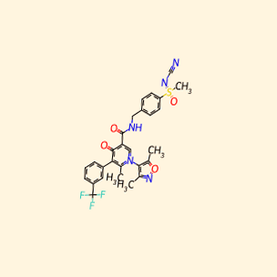 Cc1noc(C)c1-n1cc(C(=O)NCc2ccc(S(C)(=O)=NC#N)cc2)c(=O)c(-c2cccc(C(F)(F)F)c2)c1C